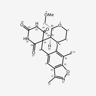 COC[C@@H]1OCCN2c3c(cc4c(C)noc4c3F)CC3(C(=O)NC(=O)NC3=O)[C@@H]12